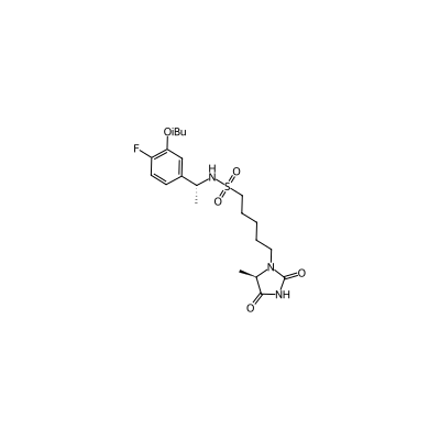 CC(C)COc1cc([C@@H](C)NS(=O)(=O)CCCCCN2C(=O)NC(=O)[C@H]2C)ccc1F